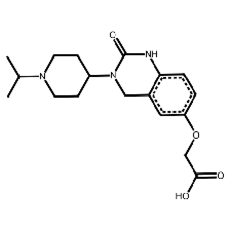 CC(C)N1CCC(N2Cc3cc(OCC(=O)O)ccc3NC2=O)CC1